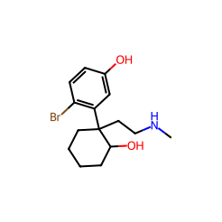 CNCCC1(c2cc(O)ccc2Br)CCCCC1O